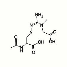 CC(=O)NC(CSN=C(N)N(C)CC(=O)O)C(=O)O